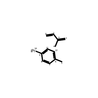 C=CC(=C)C.Cc1ccc(C(C)C)cc1